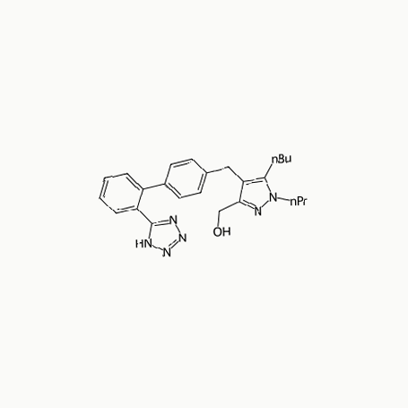 CCCCc1c(Cc2ccc(-c3ccccc3-c3nnn[nH]3)cc2)c(CO)nn1CCC